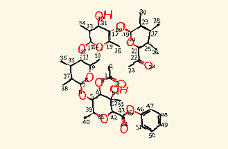 CC(=O)O[C@@H]1C(O[C@@H]2OC(C)[C@@H](O[C@@H]3OC(C)[C@@H](O[C@@H]4OC(C(C)=O)[C@H](C)[C@H](C)C4C)[C@H](O)C3C)[C@H](C)C2C)[C@H](C)OC(C(=O)Oc2ccccc2)[C@@]1(C)O